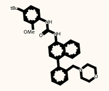 COc1cc(C(C)(C)C)ccc1NC(=O)Nc1ccc(-c2ccccc2CN2CCOCC2)c2ccccc12